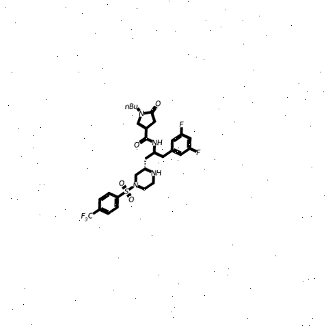 CCCCN1CC(C(=O)NC(Cc2cc(F)cc(F)c2)C[C@H]2CN(S(=O)(=O)c3ccc(C(F)(F)F)cc3)CCN2)CC1=O